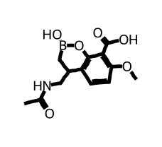 COc1ccc2c(c1C(=O)O)OB(O)CC2CNC(C)=O